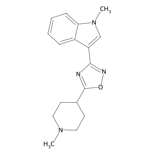 CN1CCC(c2nc(-c3cn(C)c4ccccc34)no2)CC1